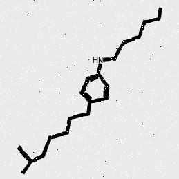 CCCCCCNc1ccc(CCCCCC(C)C)cc1